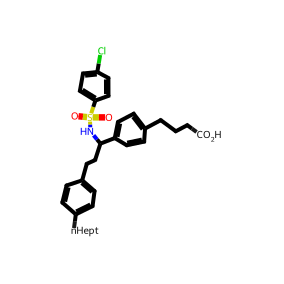 CCCCCCCc1ccc(CCC(NS(=O)(=O)c2ccc(Cl)cc2)c2ccc(CCCC(=O)O)cc2)cc1